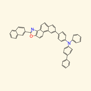 c1ccc(-c2ccc(N(c3ccccc3)c3ccc(-c4ccc5ccc6c(ccc7oc(-c8ccc9ccccc9c8)nc76)c5c4)cc3)cc2)cc1